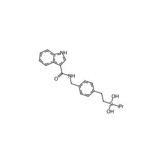 CC(C)[Si](O)(O)CCc1ccc(CNC(=O)c2c[nH]c3ccccc23)cc1